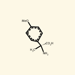 COc1ccc([C@](C)(N)C(=O)O)cc1